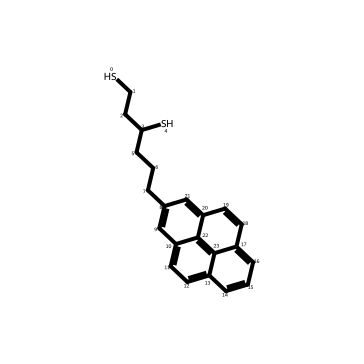 SCCC(S)CCCc1cc2ccc3cccc4ccc(c1)c2c34